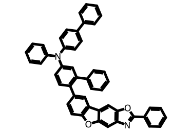 c1ccc(-c2ccc(N(c3ccccc3)c3ccc(-c4ccc5oc6cc7nc(-c8ccccc8)oc7cc6c5c4)c(-c4ccccc4)c3)cc2)cc1